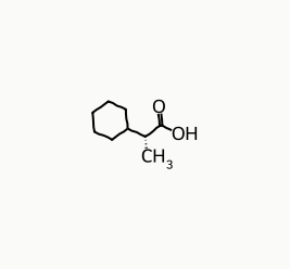 C[C@@H](C(=O)O)C1CCCCC1